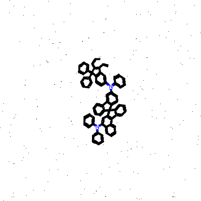 C=CC1=C(/C=C\C)C(c2ccccc2)(c2ccccc2)c2ccc(N(c3ccccc3)c3ccc4c(c3)-c3ccccc3C43c4ccccc4-c4c3cc(N(c3ccccc3)c3ccccc3)c3ccccc43)cc21